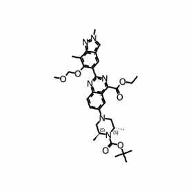 CCOC(=O)c1nc(-c2cc3cn(C)nc3c(C)c2OCOC)nc2ccc(N3C[C@H](C)N(C(=O)OC(C)(C)C)[C@@H](C)C3)cc12